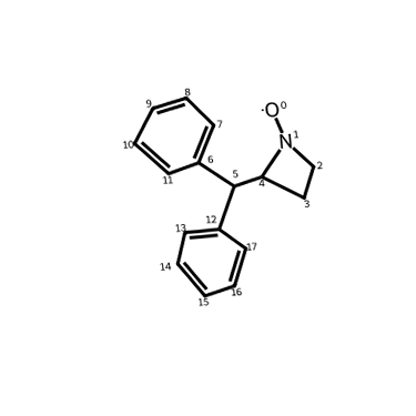 [O]N1CCC1C(c1ccccc1)c1ccccc1